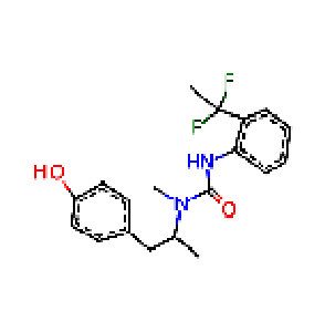 CC(Cc1ccc(O)cc1)N(C)C(=O)Nc1ccccc1C(C)(F)F